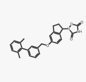 Cc1cccc(C)c1-c1cccc(COc2ccc3c(c2)CCC3n2oc(=O)[nH]c2=O)c1